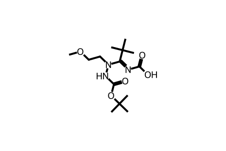 COCCN(NC(=O)OC(C)(C)C)C(=NC(=O)O)C(C)(C)C